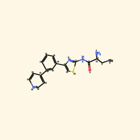 CC(C)(C)C[C@H](N)C(=O)Nc1nc(-c2cccc(-c3ccncc3)c2)cs1